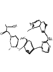 CC(O)C(=O)N1CC[C@H](Oc2ccc(-c3ncnc(Nc4ccc5cnn(C)c5c4)n3)cc2C#N)[C@H](F)C1